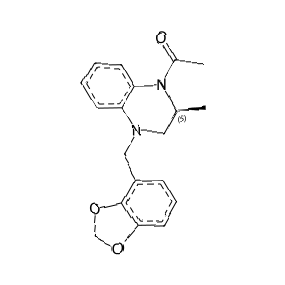 CC(=O)N1c2ccccc2N(Cc2cccc3c2OCO3)C[C@@H]1C